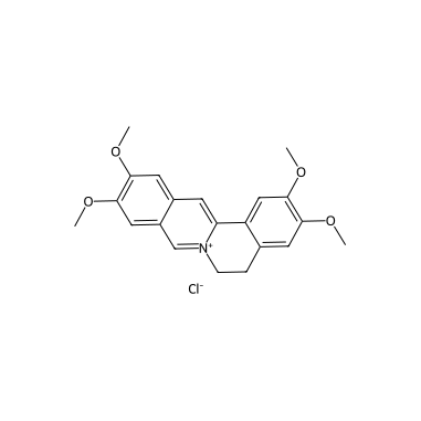 COc1cc2c(cc1OC)-c1cc3cc(OC)c(OC)cc3c[n+]1CC2.[Cl-]